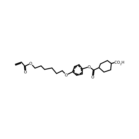 C=CC(=O)OCCCCCCOc1ccc(OC(=O)C2CCC(C(=O)O)CC2)cc1